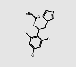 CCCCC(=O)OC(Cn1ccnc1)c1c(Cl)cc(Cl)cc1Cl